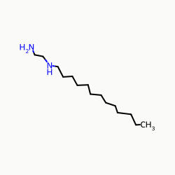 CCCCCCCCCCCCCNCCN